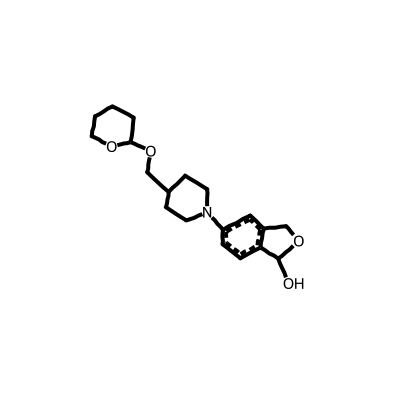 OC1OCc2cc(N3CCC(COC4CCCCO4)CC3)ccc21